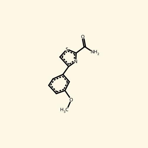 COc1cccc(-c2csc(C(N)=O)n2)c1